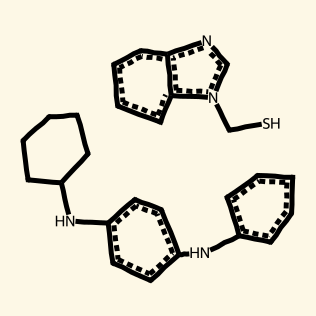 SCn1cnc2ccccc21.c1ccc(Nc2ccc(NC3CCCCC3)cc2)cc1